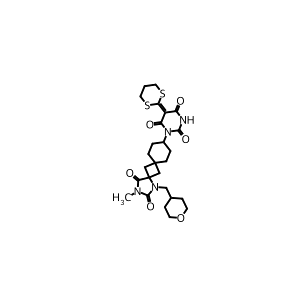 CN1C(=O)N(CC2CCOCC2)C2(CC3(CCC(N4C(=O)NC(=O)C(=C5SCCCS5)C4=O)CC3)C2)C1=O